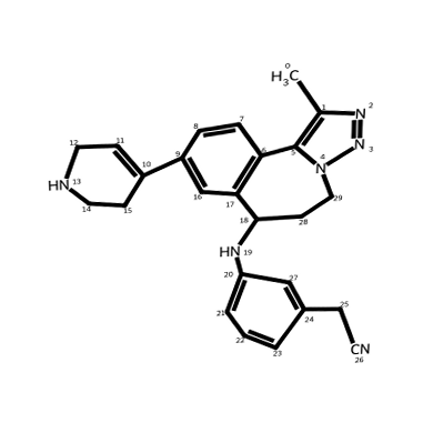 Cc1nnn2c1-c1ccc(C3=CCNCC3)cc1C(Nc1cccc(CC#N)c1)CC2